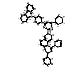 C1=CCC(C2=CC(c3ccccc3)Nc3ccc4c(c32)=CCC(c2nc(C3=CCCC=C3)cc(-c3ccc(-n5c6ccccc6c6ccccc65)cc3)n2)C=4)C=C1